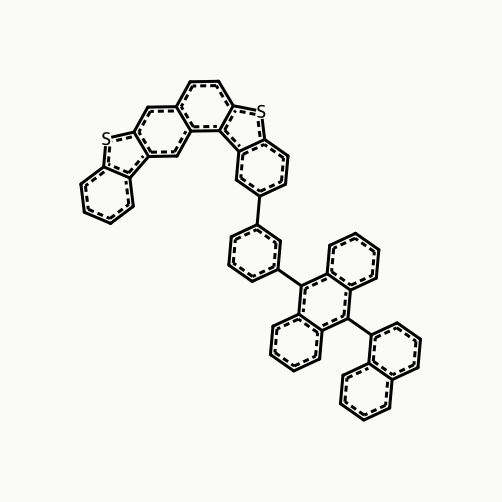 c1cc(-c2ccc3sc4ccc5cc6sc7ccccc7c6cc5c4c3c2)cc(-c2c3ccccc3c(-c3cccc4ccccc34)c3ccccc23)c1